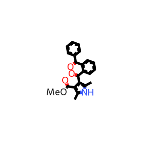 COC(=O)c1c(C)[nH]c(C)c1C(=O)c1ccccc1C(=O)c1ccccc1